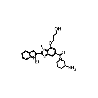 CCn1c(-c2nc3cc(C(=O)N4CCCC(N)C4)cc(OCCCO)c3n2C)cc2ccccc21